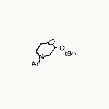 CC(=O)N1CCOC(OC(C)(C)C)C1